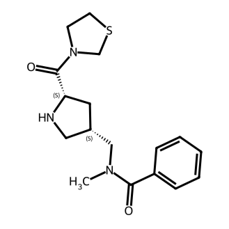 CN(C[C@@H]1CN[C@H](C(=O)N2CCSC2)C1)C(=O)c1ccccc1